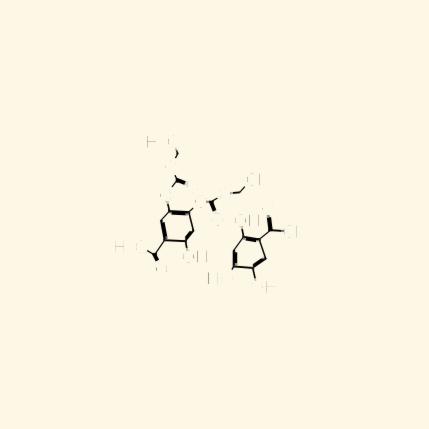 CC(=O)c1cc(O)c(O)cc1O.CCOC(=O)Oc1cc(O)c(C(C)=O)cc1OC(=O)OCC